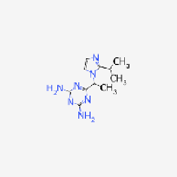 CC(C)c1nccn1C(C)c1nc(N)nc(N)n1